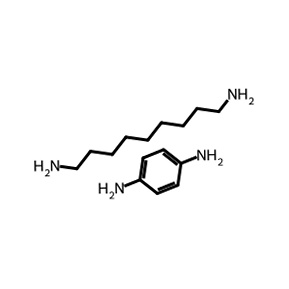 NCCCCCCCCCN.Nc1ccc(N)cc1